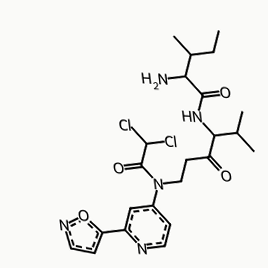 CCC(C)C(N)C(=O)NC(C(=O)CCN(C(=O)C(Cl)Cl)c1ccnc(-c2ccno2)c1)C(C)C